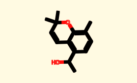 Cc1ccc(C(C)O)c2c1OC(C)(C)C=C2